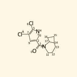 O=C(c1cnc(Cl)c(Cl)c1)N1CCCC2CCC21